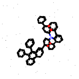 c1ccc(-c2ccc(N(c3ccc(-c4ccc5c(c4)c(-c4ccccc4)c(-c4ccccc4)c4ccccc45)cc3)c3c(-c4ccccc4)cccc3-c3ccccc3)cc2)cc1